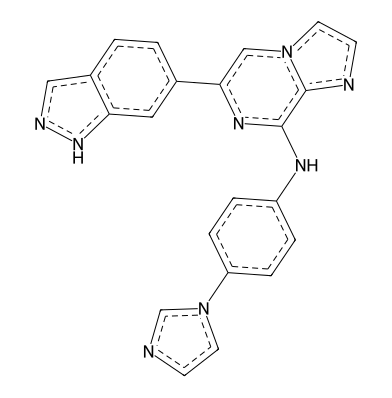 c1cn(-c2ccc(Nc3nc(-c4ccc5cn[nH]c5c4)cn4ccnc34)cc2)cn1